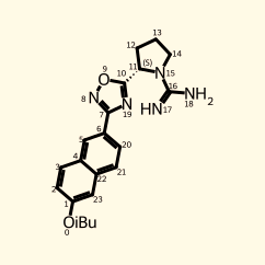 CC(C)COc1ccc2cc(-c3noc([C@@H]4CCCN4C(=N)N)n3)ccc2c1